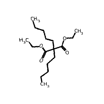 CCCCCC(CCCCC)(C(=O)OCC)C(=O)OCC